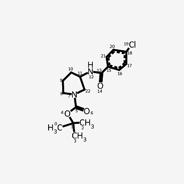 CC(C)(C)OC(=O)N1CCCC(NC(=O)c2ccc(Cl)cc2)C1